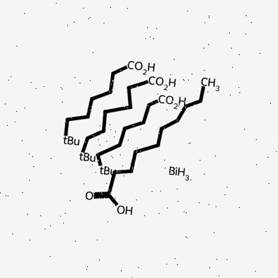 CC(C)(C)CCCCCC(=O)O.CC(C)(C)CCCCCC(=O)O.CC(C)(C)CCCCCC(=O)O.CCCCCCCCCC(=O)O.[BiH3]